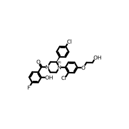 O=C(c1ccc(F)cc1O)N1CCN(c2ccc(OCCO)cc2Cl)[C@H](c2ccc(Cl)cc2)C1